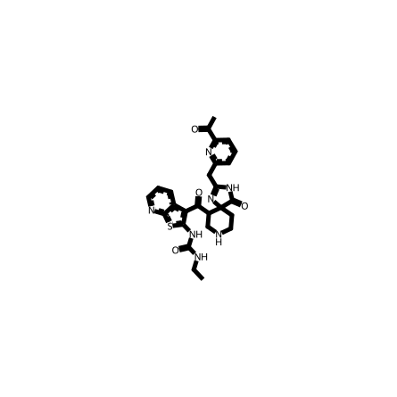 CCNC(=O)Nc1sc2ncccc2c1C(=O)C1CNCCC12N=C(Cc1cccc(C(C)=O)n1)NC2=O